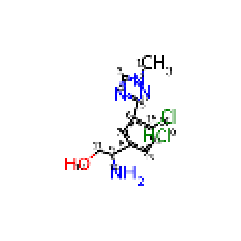 Cl.Cn1cnc(-c2cc(C(N)CO)ccc2Cl)n1